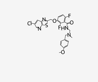 COc1ccc(CN(C)CNC(=O)c2c(F)ccc(OCc3nc4cc(Cl)cnc4s3)c2F)cc1